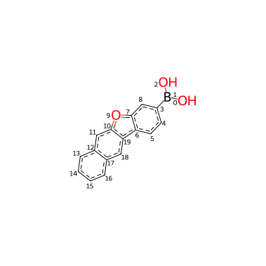 OB(O)c1ccc2c(c1)oc1cc3ccccc3cc12